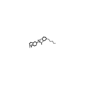 C=C1c2cc(CCCCC)ccc2CN1c1ccc2c(ccn2C)c1